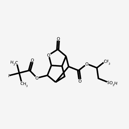 CC(C)(I)C(=O)OC1C2CC3C1OC(=O)C3C2C(=O)OC(CS(=O)(=O)O)C(F)(F)F